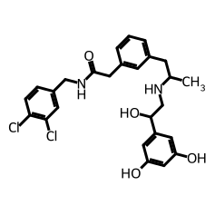 CC(Cc1cccc(CC(=O)NCc2ccc(Cl)c(Cl)c2)c1)NCC(O)c1cc(O)cc(O)c1